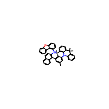 Cc1cc(-c2c(Nc3cccc4oc5ccccc5c34)ccc3ccccc23)c2c(c1)N1c3ccccc3C(C)(C)c3cccc(c31)B2